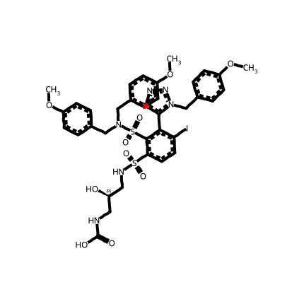 COc1ccc(CN(Cc2ccc(OC)cc2)S(=O)(=O)c2c(S(=O)(=O)NC[C@H](O)CNC(=O)O)ccc(I)c2-c2nnnn2Cc2ccc(OC)cc2)cc1